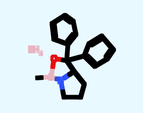 B.CB1OC(c2ccccc2)(c2ccccc2)C2CCCN12